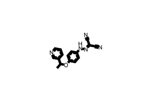 CC(Oc1ccc(NN=C(C#N)C#N)cc1)c1cccnc1